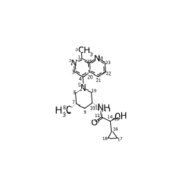 Cc1ncc(N2C[C@@H](C)C[C@@H](NC(=O)[C@@H](O)C3CC3)C2)c2cccnc12